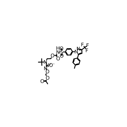 CC(=O)OCO/N=[N+](\[O-])N(CCOC(=O)NS(=O)(=O)c1ccc(-n2nc(C(F)(F)F)cc2-c2ccc(C)cc2)cc1)C(C)(C)C